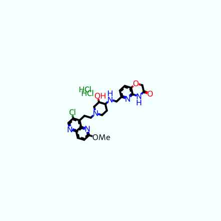 COc1ccc2ncc(Cl)c(CCN3CCC(NCc4ccc5c(n4)NC(=O)CO5)C(O)C3)c2n1.Cl.Cl